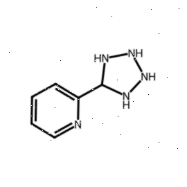 c1ccc(C2NNNN2)nc1